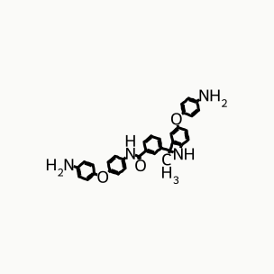 CC1(c2cccc(C(=O)Nc3ccc(Oc4ccc(N)cc4)cc3)c2)Nc2ccc(Oc3ccc(N)cc3)cc21